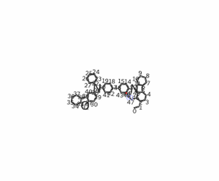 C=Cc1ccc2c3ccccc3n(-c3ccc(-c4ccc(N(c5ccccc5)c5ccc6oc7ccccc7c6c5)cc4)cc3)c2c1/C=C\C